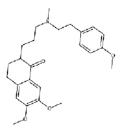 COc1ccc(CCN(C)CCCC2CCc3cc(OC)c(OC)cc3C2=O)cc1